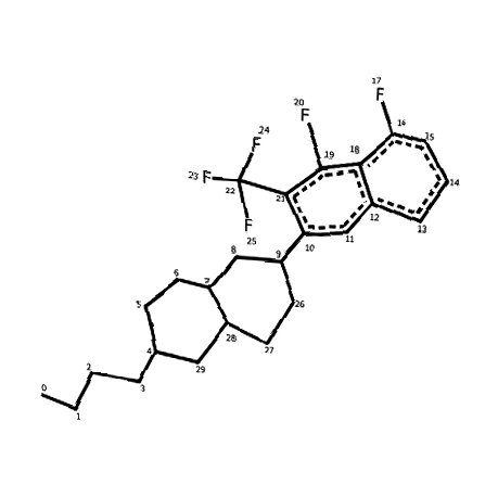 CCCCC1CCC2CC(c3cc4cccc(F)c4c(F)c3C(F)(F)F)CCC2C1